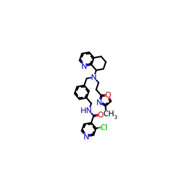 Cc1coc(CCN(Cc2cccc(CNC(=O)c3ccncc3Cl)c2)C2CCCc3cccnc32)n1